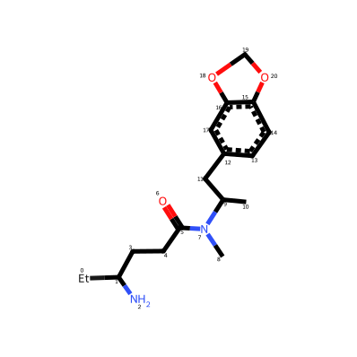 CCC(N)CCC(=O)N(C)C(C)Cc1ccc2c(c1)OCO2